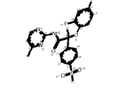 Cc1ccnc(NC(=O)C(C)(Oc2ccc(F)cc2F)c2ccc(S(C)(=O)=O)cc2)n1